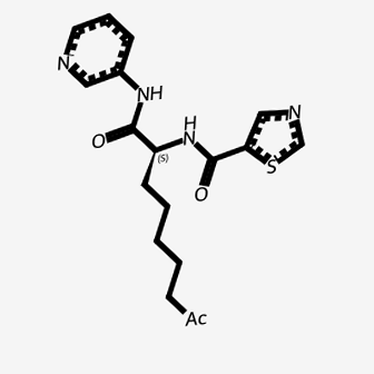 CC(=O)CCCCC[C@H](NC(=O)c1cncs1)C(=O)Nc1cccnc1